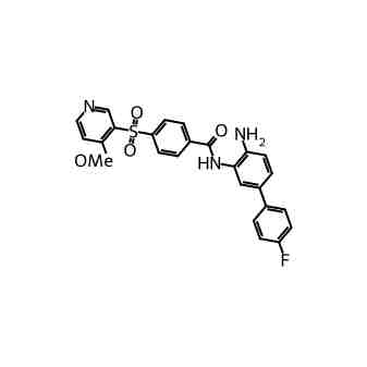 COc1ccncc1S(=O)(=O)c1ccc(C(=O)Nc2cc(-c3ccc(F)cc3)ccc2N)cc1